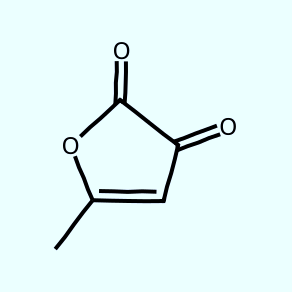 CC1=CC(=O)C(=O)O1